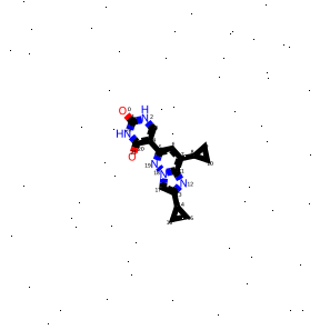 O=c1[nH]cc(-c2cc(C3CC3)c3nc(C4CC4)cn3n2)c(=O)[nH]1